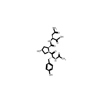 CC(=O)N[C@H](Cc1ccc(O)cc1)C(=O)N1C[C@H](O)C[C@H]1C(=O)N[C@@H](CC(N)=O)C(=O)O